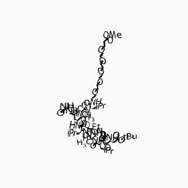 CC[C@H](NC(=O)[C@H](C)NC(=O)[C@H](CC(C)C)NC(=O)[C@H](CC(=O)OC(C)(C)C)NC(=O)CN)C(=O)N[C@@H](CC(C)C)C(=O)N[C@@H](CCCNC(N)=O)C(=O)NC(C)(C)C(=O)N[C@@H](CC(C)C)C(=O)NCCOCCOCCOCCOCCOCCC(=O)OC